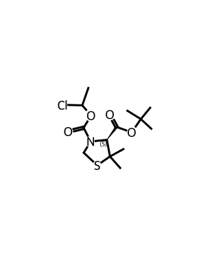 CC(Cl)OC(=O)N1CSC(C)(C)[C@@H]1C(=O)OC(C)(C)C